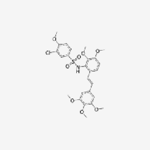 COc1ccc(S(=O)(=O)Nc2c(C=Cc3cc(OC)c(OC)c(OC)c3)ccc(OC)c2OC)cc1Cl